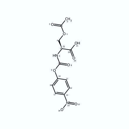 CC(=O)OC[C@H](NC(=O)Oc1ccc([N+](=O)[O-])cc1)C(=O)O